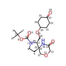 CC(C)(C)OC(=O)N1CC[C@@]2(COCC(=O)N2)[C@@H]1COC1CCC(=O)CC1